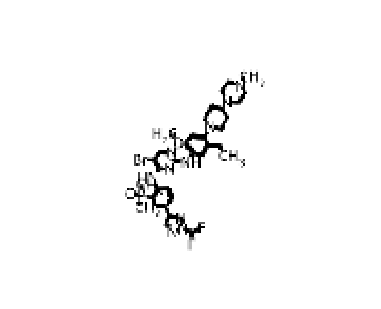 CCc1cc(Nc2ncc(Br)c(Nc3ccc(-c4cnn(C(F)F)n4)cc3P(C)(C)=O)n2)c(OC)cc1N1CCC(N2CCN(C)CC2)CC1